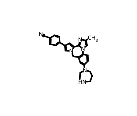 Cc1cn2c(n1)-c1cc(-c3ccc(C#N)cc3)cn1Cc1cc(N3CCCNCC3)ccc1-2